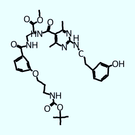 COC(=O)[C@H](CNC(=O)c1cccc(OCCCNC(=O)OC(C)(C)C)c1)NC(=O)c1c(C)nc(NCCCc2cccc(O)c2)nc1C